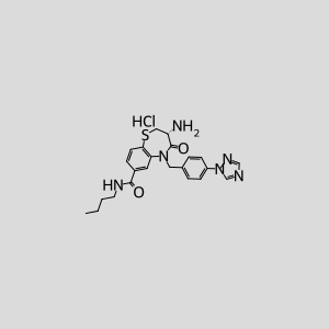 CCCCNC(=O)c1ccc2c(c1)N(Cc1ccc(-n3cncn3)cc1)C(=O)[C@@H](N)CS2.Cl